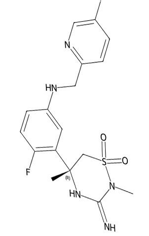 CN1C(=N)N[C@](C)(c2cc(NCc3ccc(F)cn3)ccc2F)CS1(=O)=O